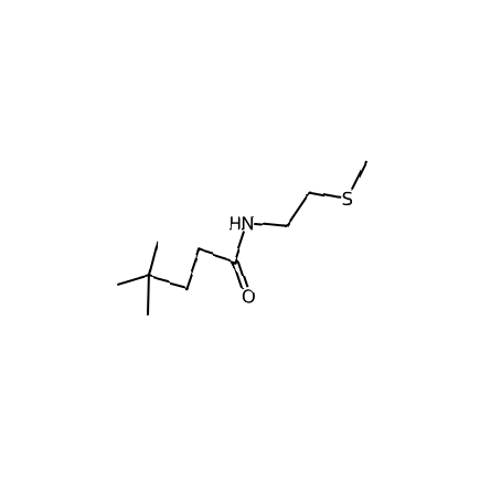 CSCCNC(=O)CCC(C)(C)C